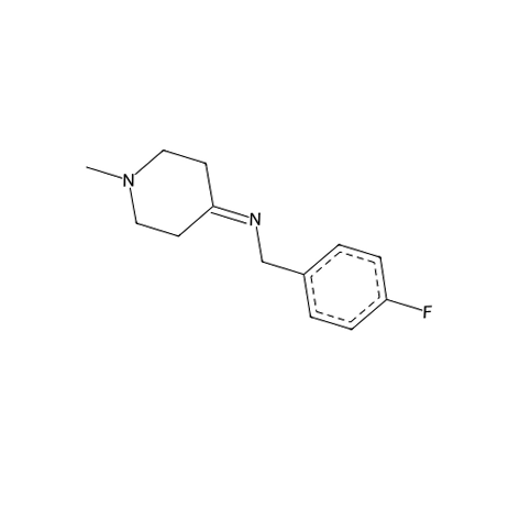 CN1CCC(=NCc2ccc(F)cc2)CC1